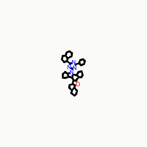 c1ccc(-c2nc(-c3cccc4ccccc34)nc(-n3c4ccccc4c4c5c6ccc7ccccc7c6oc5c5ccccc5c43)n2)cc1